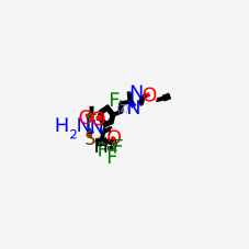 C#CCOc1cnc(/C(F)=C/c2ccc(F)c([C@]34CO[C@H](C(F)(F)F)[C@H]3CSC(N)N4OC(C)=O)c2)cn1